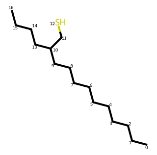 CCCCCCCCCCC(CS)CCCC